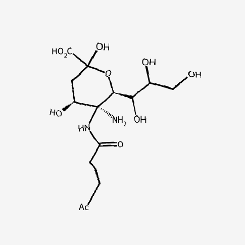 CC(=O)CCC(=O)N[C@@]1(N)[C@@H](O)CC(O)(C(=O)O)O[C@H]1C(O)C(O)CO